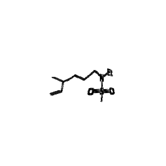 C=CC(C)CCCN(CC)S(C)(=O)=O